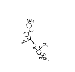 CN[C@H]1CC[C@H](Nc2cccc3c2cc(C#CCNc2ccc(S(C)(=O)=O)cc2OCC(F)(F)F)n3CC(F)(F)F)CC1